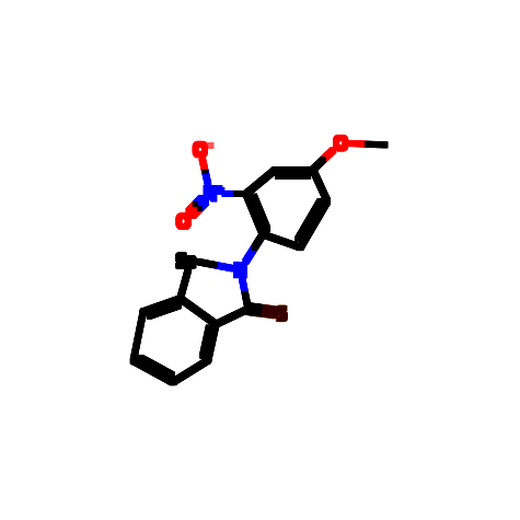 COc1ccc(-n2[se]c3ccccc3c2=S)c([N+](=O)[O-])c1